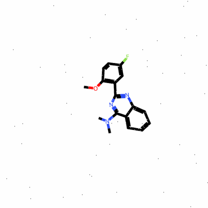 COc1ccc(F)cc1-c1nc(N(C)C)c2ccccc2n1